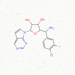 NC(c1ccc(Cl)c(F)c1)C1OC(n2ccc3cncnc32)C(O)C1O